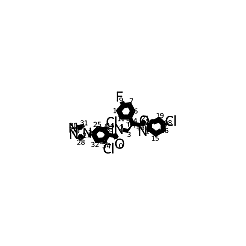 O=C(NC[C@@H](c1ccc(F)cc1)c1nc2ccc(Cl)cc2o1)c1c(Cl)cc(-n2cnnc2)cc1Cl